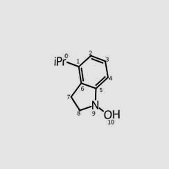 CC(C)c1cccc2c1CCN2O